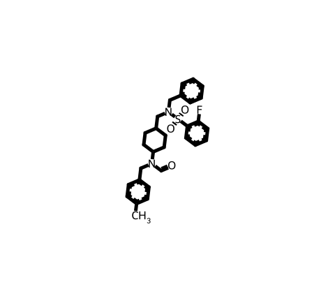 Cc1ccc(CN(C=O)C2CCC(CN(Cc3ccccc3)S(=O)(=O)c3ccccc3F)CC2)cc1